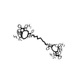 C=C1C(=O)O[C@H]2[C@H]1CC/C(C(=O)NCCCCCCCCNC(=O)/C1=C/CC[C@@]3(C)O[C@H]3[C@H]3OC(=O)C(=C)[C@@H]3CC1)=C\CC[C@@]1(C)O[C@@H]21